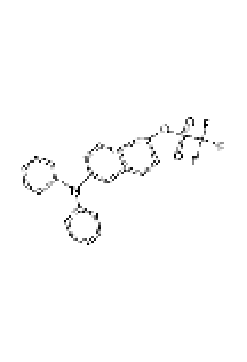 O=S(=O)(Oc1ccc2cc(N(c3ccccc3)c3ccccc3)ccc2c1)C(F)(F)F